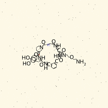 NCCOCCNC(=O)[C@@H]1CCNC(=O)/C=C/C(=O)N2CCC[C@](Cc3ccccc3)(C2)C(=O)N[C@@H](Cc2ccc(O)c(O)c2)C(=O)NCc2ccccc2CC(=O)N1